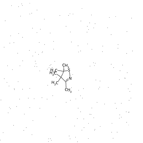 CC1=NSC(C)(C)C1(C)C